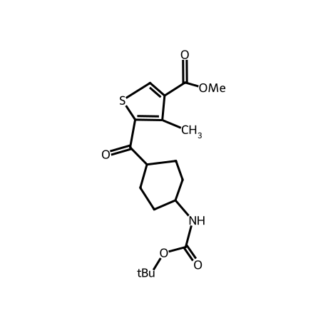 COC(=O)c1csc(C(=O)C2CCC(NC(=O)OC(C)(C)C)CC2)c1C